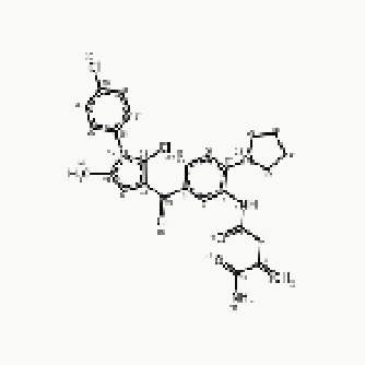 C=C(CC(=O)Nc1cc(C(=O)c2cc(C)n(-c3ccc(Cl)cc3)c2C)ccc1N1CCCC1)C(N)=O